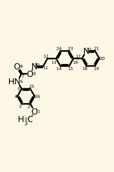 COc1ccc(NC(=O)ON=CCc2ccc(-c3ccccn3)cc2)cc1